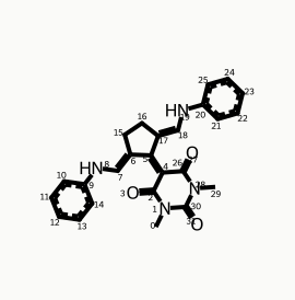 CN1C(=O)C(=C2C(=CNc3ccccc3)CCC2=CNc2ccccc2)C(=O)N(C)C1=O